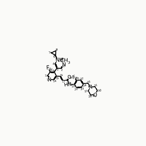 C/N=C\C(=C/NC1CC1)c1c(F)cncc1/C=C/C(=O)Nc1ccc(CN2CCOCC2)cc1F